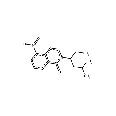 CCC(CC(C)C)n1ccc2c([N+](=O)[O-])cccc2c1=O